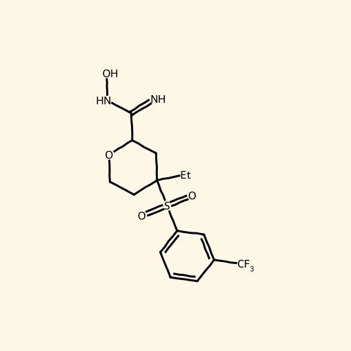 CCC1(S(=O)(=O)c2cccc(C(F)(F)F)c2)CCOC(C(=N)NO)C1